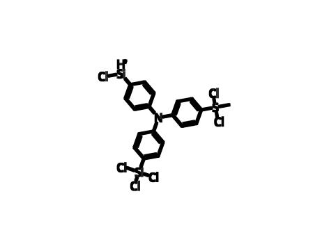 C[SiH](Cl)c1ccc(N(c2ccc([Si](Cl)(Cl)Cl)cc2)c2ccc(S(C)(Cl)Cl)cc2)cc1